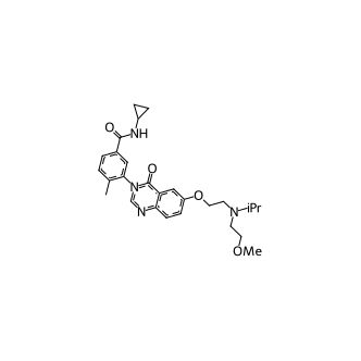 COCCN(CCOc1ccc2ncn(-c3cc(C(=O)NC4CC4)ccc3C)c(=O)c2c1)C(C)C